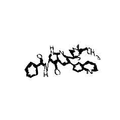 Cc1ncc(-c2nc3[nH]cc(NC(=O)c4ccccc4)c(=O)c3cc2-c2ccc3ncccc3c2)s1